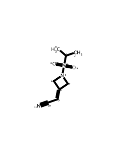 CC(C)S(=O)(=O)N1CC(=CC#N)C1